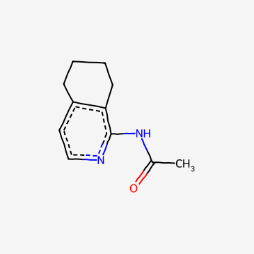 CC(=O)Nc1nccc2c1CCCC2